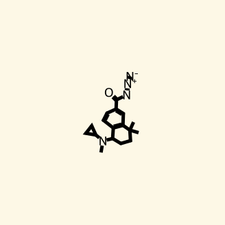 CN(C1CC1)C1CCC(C)(C)c2cc(C(=O)N=[N+]=[N-])ccc21